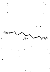 CCCCCCCCCCCCCCS(=O)(=O)O.[Na]